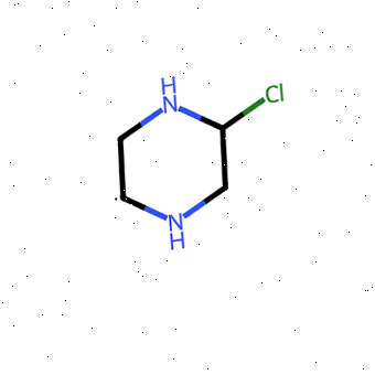 ClC1CN[CH]CN1